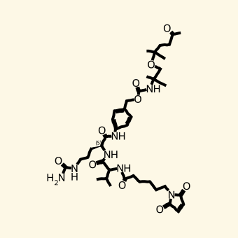 CC(=O)CCC(C)(C)OCC(C)(C)NC(=O)OCc1ccc(NC(=O)[C@H](CCCNC(N)=O)NC(=O)C(NC(=O)CCCCCN2C(=O)C=CC2=O)C(C)C)cc1